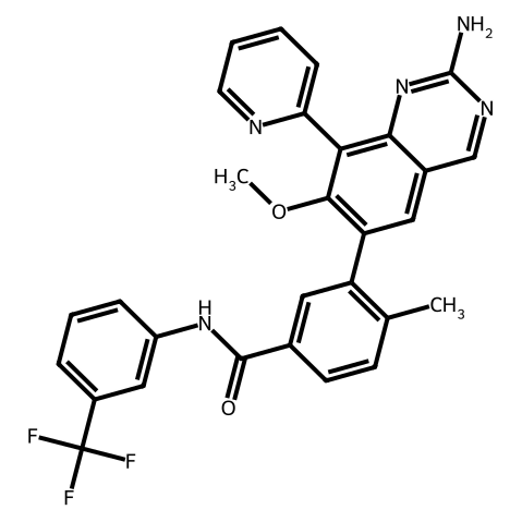 COc1c(-c2cc(C(=O)Nc3cccc(C(F)(F)F)c3)ccc2C)cc2cnc(N)nc2c1-c1ccccn1